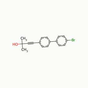 CC(C)(O)C#Cc1ccc(-c2ccc(Br)cc2)cc1